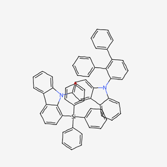 c1ccc(-c2cccc(-n3c4ccccc4c4cc(-n5c6ccccc6c6cccc([Si](c7ccccc7)(c7ccccc7)c7ccccc7)c65)ccc43)c2-c2ccccc2)cc1